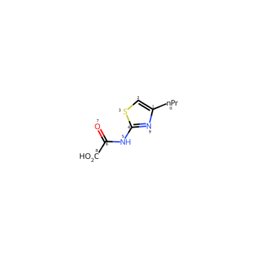 CCCc1csc(NC(=O)C(=O)O)n1